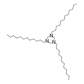 CCCCCCCCCCCCN1CN(CCCCCCCCCCCC)CN(CCCCCCCCCCCC)C1